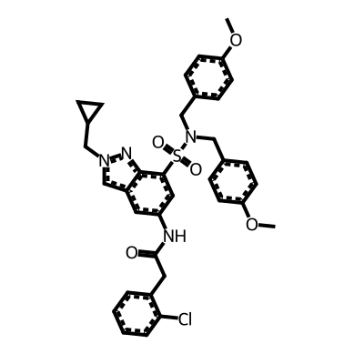 COc1ccc(CN(Cc2ccc(OC)cc2)S(=O)(=O)c2cc(NC(=O)Cc3ccccc3Cl)cc3cn(CC4CC4)nc23)cc1